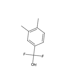 Cc1ccc(C(O)(F)F)cc1C